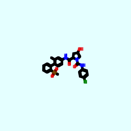 Cc1cc(NC(=O)C2CC(O)CN2C(=O)Nc2ccc(Cl)cc2)ccc1-c1ccccc1S(C)(=O)=O